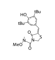 CON(C)C(=O)N1CSC(=Cc2cc(C(C)(C)C)c(O)c(C(C)(C)C)c2)C1=O